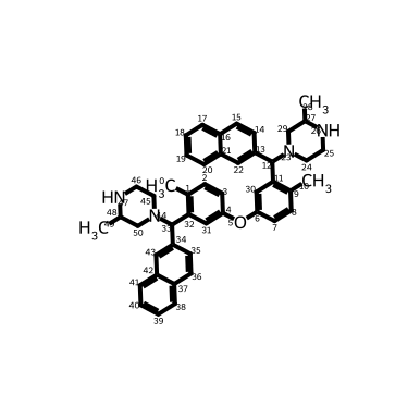 Cc1ccc(Oc2ccc(C)c(C(c3ccc4ccccc4c3)N3CCNC(C)C3)c2)cc1C(c1ccc2ccccc2c1)N1CCNC(C)C1